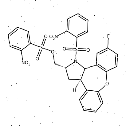 O=[N+]([O-])c1ccccc1S(=O)(=O)OC[C@H]1C[C@@H]2c3ccccc3Oc3ccc(F)cc3C2N1S(=O)(=O)c1ccccc1[N+](=O)[O-]